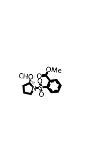 COC(=O)c1ccccc1S(=O)(=O)N1CCC[C@H]1[C]=O